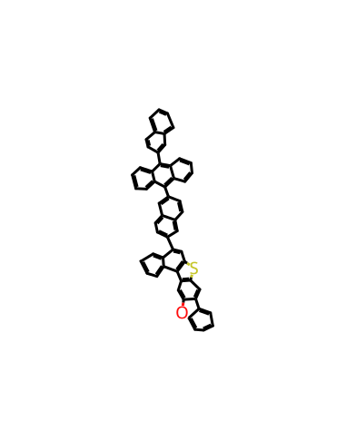 c1ccc2cc(-c3c4ccccc4c(-c4ccc5cc(-c6cc7sc8cc9c(cc8c7c7ccccc67)oc6ccccc69)ccc5c4)c4ccccc34)ccc2c1